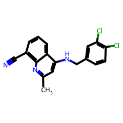 Cc1cc(NCc2ccc(Cl)c(Cl)c2)c2cccc(C#N)c2n1